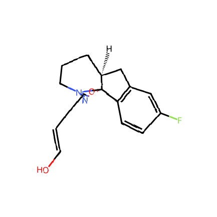 O/C=C/C1=NO[C@@]23c4ccc(F)cc4C[C@@H]2CCCN13